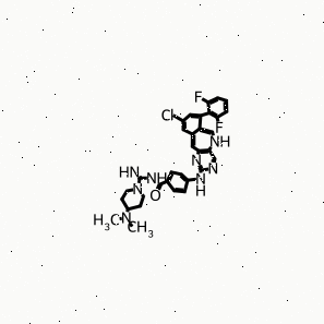 CN(C)C1CCN(C(=N)NC(=O)c2ccc(Nc3ncc4c(n3)C=c3cc(Cl)cc(-c5c(F)cccc5F)c3=CN4)cc2)CC1